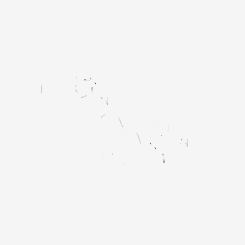 Cc1cc(N2CC/C(=C\C3=C(C(=O)O)N4C(=O)[C@@H](N)[C@H]4SC3)C2=O)no1